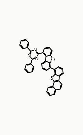 c1ccc(-c2nc(-c3ccccc3)nc(-c3cccc4oc5c(-c6cccc7c6sc6c8ccccc8ccc76)cccc5c34)n2)cc1